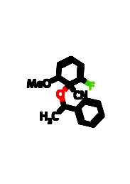 COC1C=CC=C(F)C1(C#N)OC(C)c1ccccc1